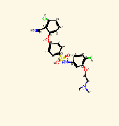 CN(C)CCOc1cc(NS(=O)(=O)c2ccc(Oc3cccc(Cl)c3C#N)cc2)ccc1Cl